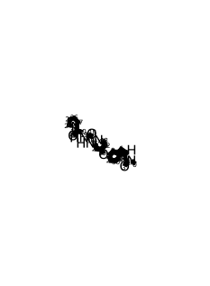 CNC(=O)n1ccc2cc(Oc3ccnc(NC(=O)NCC(=O)N4CCCC4)c3)ccc21